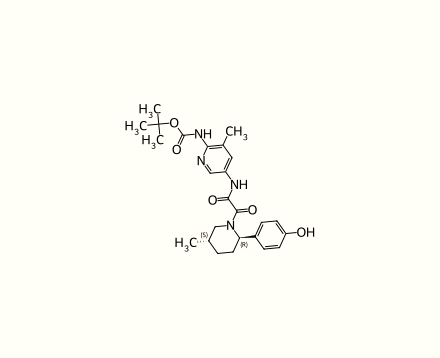 Cc1cc(NC(=O)C(=O)N2C[C@@H](C)CC[C@@H]2c2ccc(O)cc2)cnc1NC(=O)OC(C)(C)C